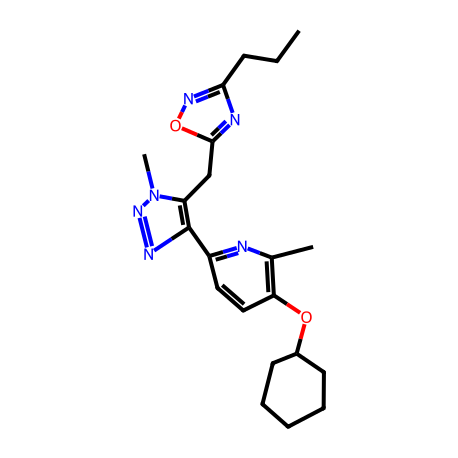 CCCc1noc(Cc2c(-c3ccc(OC4CCCCC4)c(C)n3)nnn2C)n1